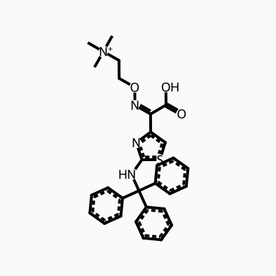 C[N+](C)(C)CCON=C(C(=O)O)c1csc(NC(c2ccccc2)(c2ccccc2)c2ccccc2)n1